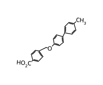 Cc1ccc(-c2ccc(OCc3ccc(C(=O)O)cc3)cc2)cc1